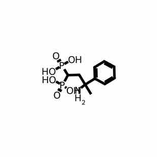 CC(N)(CC(P(=O)(O)O)P(=O)(O)O)c1ccccc1